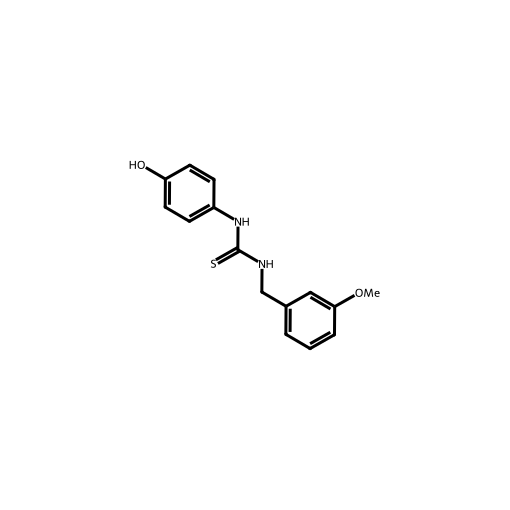 COc1cccc(CNC(=S)Nc2ccc(O)cc2)c1